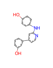 Oc1ccc(Nc2cc(-c3cccc(O)c3)ccn2)cc1